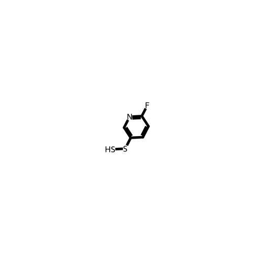 Fc1ccc(SS)cn1